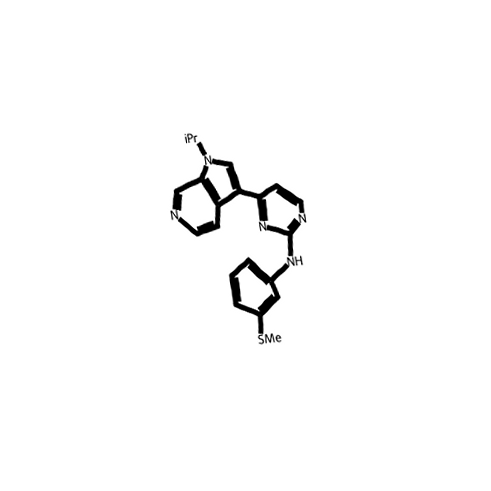 CSc1cccc(Nc2nccc(-c3cn(C(C)C)c4cnccc34)n2)c1